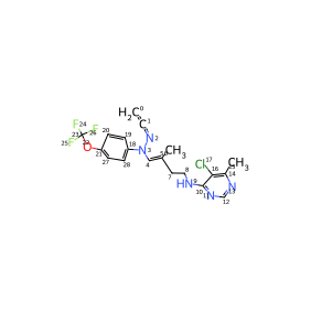 C=C=NN(/C=C(\C)CCNc1ncnc(C)c1Cl)c1ccc(OC(F)(F)F)cc1